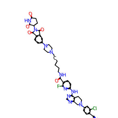 N#Cc1ccc(N2CCc3c(ncnc3Nc3ccc(C(=O)NCCCCCCN4CCN(c5ccc6c(c5)C(=O)N(C5CCC(=O)NC5=O)C6=O)CC4)c(F)n3)C2)cc1Cl